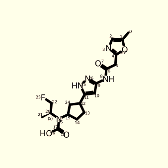 Cc1cnc(CC(=O)Nc2cc(C3CCC(N(C(=O)O)[C@@H](C)CF)C3)[nH]n2)o1